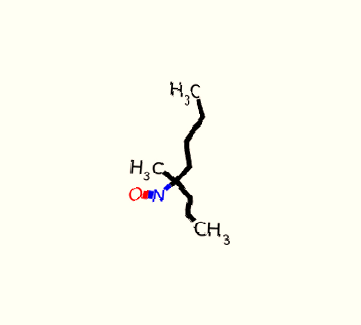 CCCCC(C)(CCC)N=O